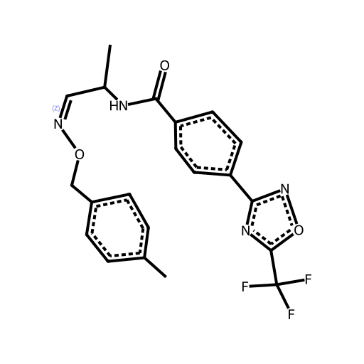 Cc1ccc(CO/N=C\C(C)NC(=O)c2ccc(-c3noc(C(F)(F)F)n3)cc2)cc1